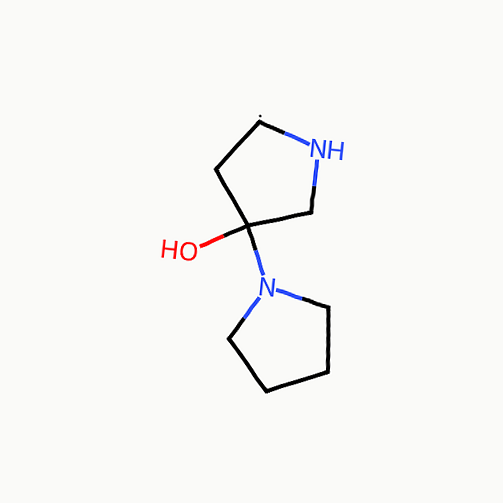 OC1(N2CCCC2)C[CH]NC1